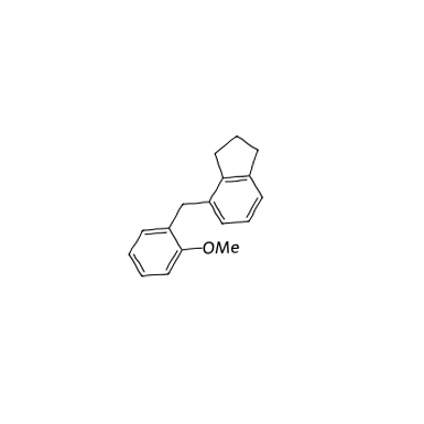 COc1ccccc1Cc1cccc2c1CCC2